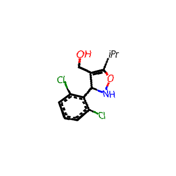 CC(C)C1=C(CO)C(c2c(Cl)cccc2Cl)NO1